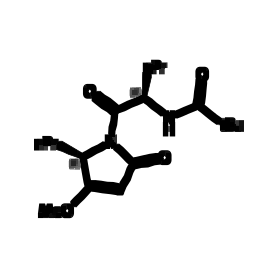 CCC[C@@H]1C(OC)=CC(=O)N1C(=O)[C@@H](CCC)NC(=O)C(C)(C)C